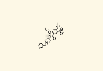 C=CCOc1cc(N)c([N+](=O)[O-])cc1C(=O)NC1CCN(Cc2ccccc2)CC1